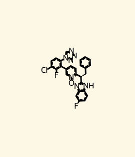 [O-][n+]1cc(-c2c(-n3cnnn3)ccc(Cl)c2F)ccc1[C@@H](Cc1ccccc1)c1nc2cc(F)ccc2[nH]1